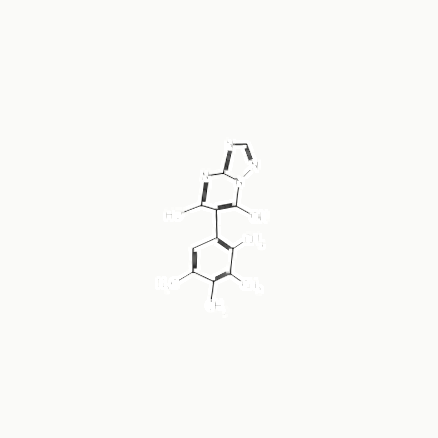 Cc1cc(-c2c(O)nc3ncnn3c2O)c(C)c(C)c1C